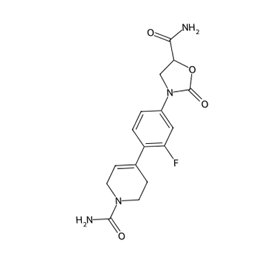 NC(=O)C1CN(c2ccc(C3=CCN(C(N)=O)CC3)c(F)c2)C(=O)O1